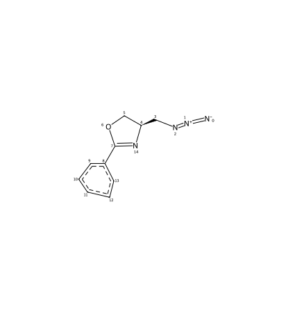 [N-]=[N+]=NC[C@@H]1COC(c2ccccc2)=N1